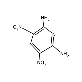 Nc1nc(N)c([N+](=O)[O-])cc1[N+](=O)[O-]